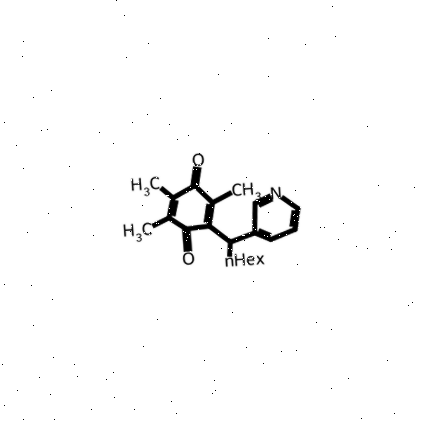 CCCCCCC(C1=C(C)C(=O)C(C)=C(C)C1=O)c1cccnc1